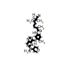 C=C(/C=C\C=C(/C)C(C)(C)C#N)C(=O)Nc1ccc(C)c(Nc2ncnc3cnc(N(C)C4CCOCC4)nc23)c1